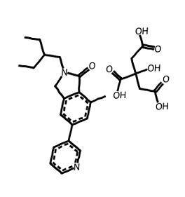 CCC(CC)CN1Cc2cc(-c3cccnc3)cc(C)c2C1=O.O=C(O)CC(O)(CC(=O)O)C(=O)O